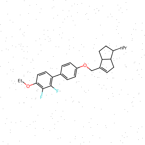 CCCC1CCC2C(COc3ccc(-c4ccc(OCC)c(F)c4F)cc3)=CCC12